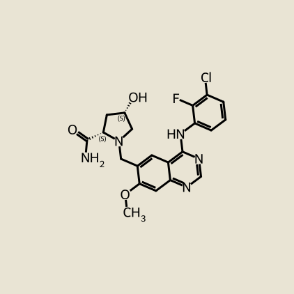 COc1cc2ncnc(Nc3cccc(Cl)c3F)c2cc1CN1C[C@@H](O)C[C@H]1C(N)=O